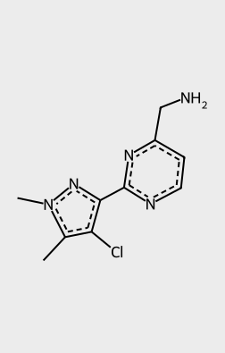 Cc1c(Cl)c(-c2nccc(CN)n2)nn1C